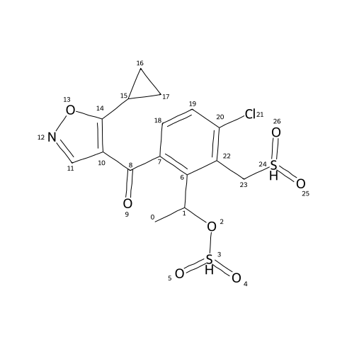 CC(O[SH](=O)=O)c1c(C(=O)c2cnoc2C2CC2)ccc(Cl)c1C[SH](=O)=O